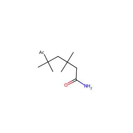 CC(=O)C(C)(C)CC(C)(C)CC(N)=O